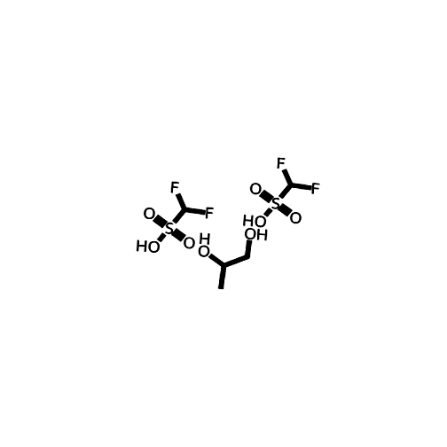 CC(O)CO.O=S(=O)(O)C(F)F.O=S(=O)(O)C(F)F